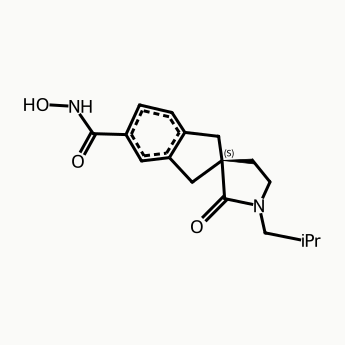 CC(C)CN1CC[C@@]2(Cc3ccc(C(=O)NO)cc3C2)C1=O